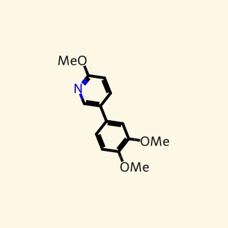 COc1ccc(-c2ccc(OC)c(OC)c2)cn1